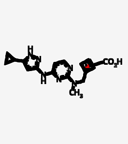 CN(CC12CC(C1)N(C(=O)O)C2)c1nccc(Nc2cc(C3CC3)[nH]n2)n1